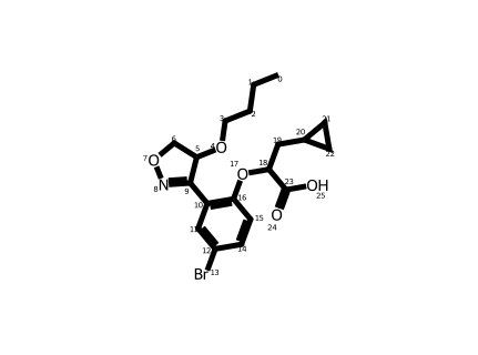 CCCCOC1CON=C1c1cc(Br)ccc1OC(CC1CC1)C(=O)O